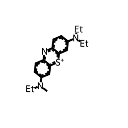 CCN(C)c1ccc2nc3ccc(N(CC)CC)cc3[s+]c2c1